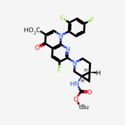 CC(C)(C)OC(=O)N[C@]12C[C@H]1CCN(c1nc3c(cc1F)c(=O)c(C(=O)O)cn3-c1ccc(F)cc1F)C2